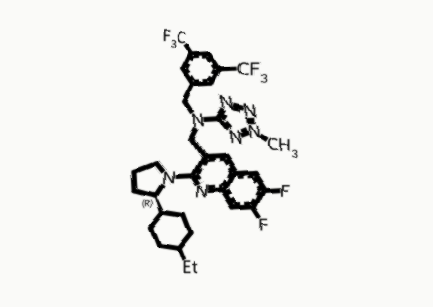 CCC1CCC([C@H]2CCCN2c2nc3cc(F)c(F)cc3cc2CN(Cc2cc(C(F)(F)F)cc(C(F)(F)F)c2)c2nnn(C)n2)CC1